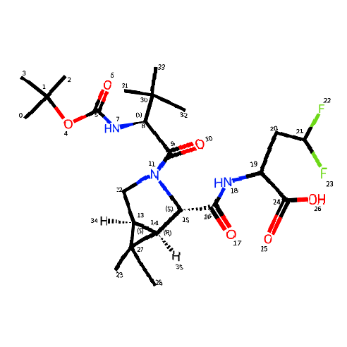 CC(C)(C)OC(=O)N[C@H](C(=O)N1C[C@H]2[C@@H]([C@H]1C(=O)NC(CC(F)F)C(=O)O)C2(C)C)C(C)(C)C